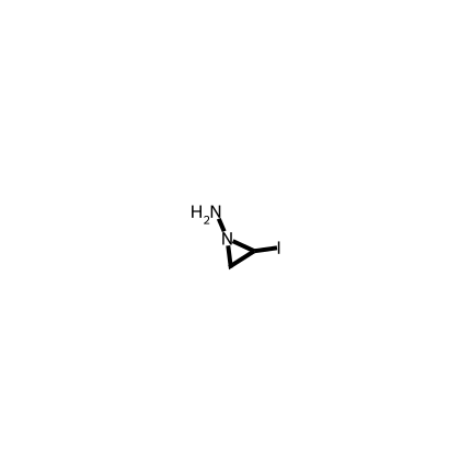 NN1CC1I